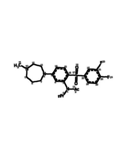 CCCN(C(C)=O)c1cc(N2CCCN(C)CC2)ccc1S(=O)(=O)c1ccc(F)c(F)c1